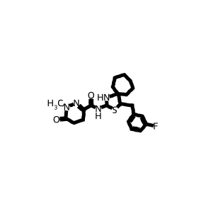 CN1N=C(C(=O)NC2NC3(CCCCCC3)C(Cc3cccc(F)c3)S2)CCC1=O